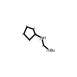 CCCCCNC1CCCC1